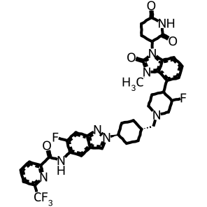 Cn1c(=O)n(C2CCC(=O)NC2=O)c2cccc(C3CCN(C[C@H]4CC[C@H](n5cc6cc(NC(=O)c7cccc(C(F)(F)F)n7)c(F)cc6n5)CC4)CC3F)c21